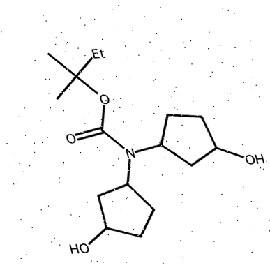 CCC(C)(C)OC(=O)N(C1CCC(O)C1)C1CCC(O)C1